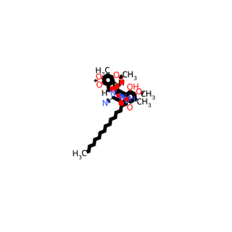 CCCCCCCCCCCCCCCC(=O)NC1CS[C@@H]2c3c(OC(C)=O)c(C)c4c(c3[C@H](COC1=O)N1C2C2NC(Cc3cc(C)c(OC)c(O)c32)[C@@H]1C#N)OCO4